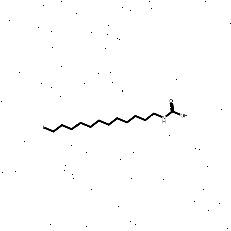 O=C(O)NCCCCCCCCCCCCI